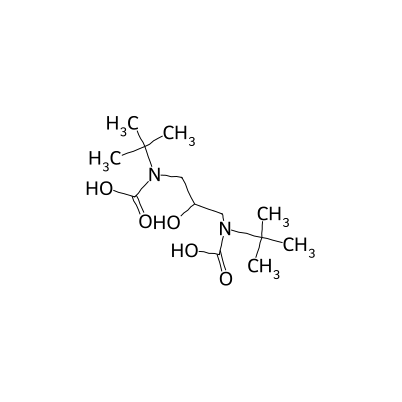 CC(C)(C)N(CC(O)CN(C(=O)O)C(C)(C)C)C(=O)O